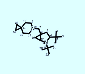 CC(C)(C)C1CC2(CN3CCC4(CC3)CC4)CC2N1C(C)(C)C